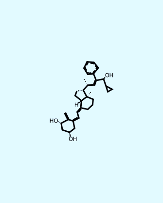 C=C1/C(=C\C=C2/CCC[C@]3(C)[C@@H]([C@H](C)/C=C(\c4ccccc4)[C@@H](O)C4CC4)CC[C@@H]23)C[C@@H](O)C[C@@H]1O